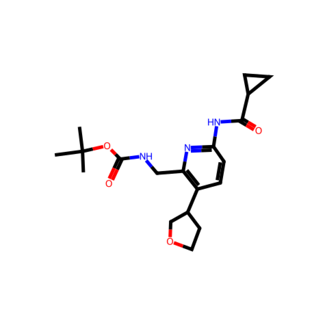 CC(C)(C)OC(=O)NCc1nc(NC(=O)C2CC2)ccc1C1CCOC1